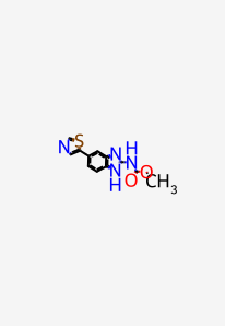 COC(=O)Nc1nc2cc(-c3cncs3)ccc2[nH]1